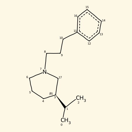 CC(C)[C@H]1CCCN(CCCc2ccccc2)C1